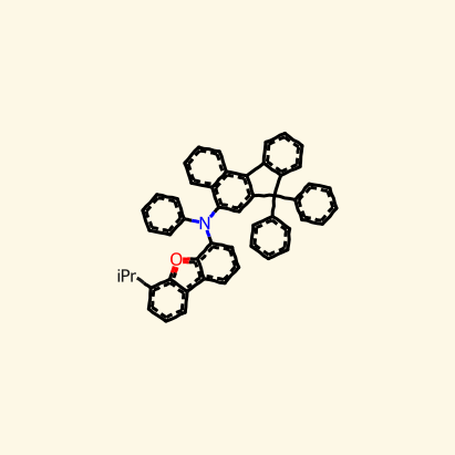 CC(C)c1cccc2c1oc1c(N(c3ccccc3)c3cc4c(c5ccccc35)-c3ccccc3C4(c3ccccc3)c3ccccc3)cccc12